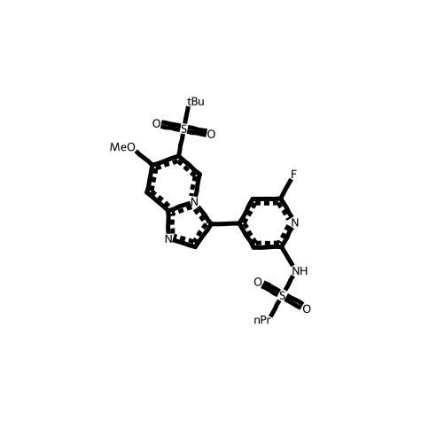 CCCS(=O)(=O)Nc1cc(-c2cnc3cc(OC)c(S(=O)(=O)C(C)(C)C)cn23)cc(F)n1